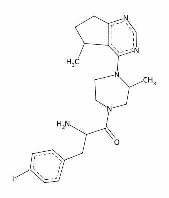 CC1CCc2ncnc(N3CCN(C(=O)C(N)Cc4ccc(I)cc4)CC3C)c21